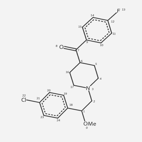 COC(CN1CCC(C(=O)c2ccc(F)cc2)CC1)c1ccc(Cl)cc1